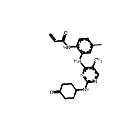 C=CC(=O)Nc1ccc(C)cc1Nc1nc(NC2CCC(=O)CC2)ncc1C(F)(F)F